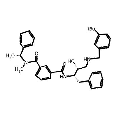 C[C@H](c1ccccc1)N(C)C(=O)c1cccc(C(=O)N[C@@H](Cc2ccccc2)[C@H](O)CNCc2cccc(C(C)(C)C)c2)c1